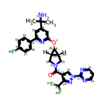 CC(C)(N)c1cc(O[C@@H]2[C@@H]3CN(C(=O)c4cn(-c5ncccn5)nc4C(F)F)C[C@@H]32)nc(-c2ccc(F)cc2)c1